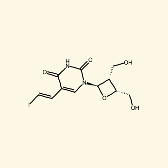 O=c1[nH]c(=O)n([C@@H]2O[C@@H](CO)[C@H]2CO)cc1C=CI